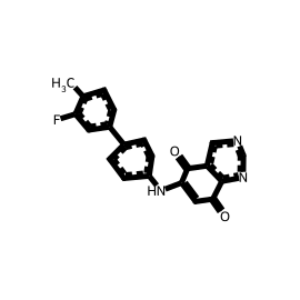 Cc1ccc(-c2ccc(NC3=CC(=O)c4ncncc4C3=O)cc2)cc1F